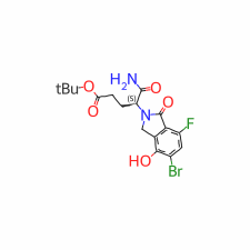 CC(C)(C)OC(=O)CC[C@@H](C(N)=O)N1Cc2c(O)c(Br)cc(F)c2C1=O